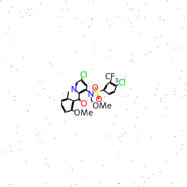 COCN(c1cc(Cl)cnc1C(=O)c1c(C)cccc1OC)S(=O)(=O)c1ccc(Cl)c(C(F)(F)F)c1